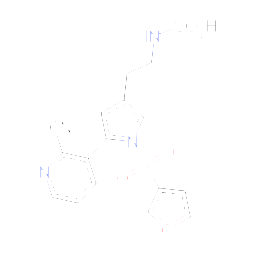 N#Cc1ncccc1-c1cc(CCNC(=O)O)cn1S(=O)(=O)c1ccoc1